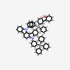 c1ccc(-n2c3ccccc3c3ccc4c(c5cc([Si](c6ccccc6)(c6ccccc6)c6ccc7oc8ccccc8c7c6)ccc5n4-c4cccc([Si](c5ccccc5)(c5ccccc5)c5ccccc5)c4)c32)cc1